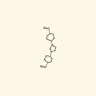 COc1ccc(-n2cc[n+](-c3ccc(OC)cc3)c2)cc1